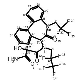 C[C@](O)(C(N)=O)C(=O)N(CC(F)(F)C(F)(F)F)[C@@H]1C(=O)N(CC(F)(F)F)c2ccccc2-c2ccccc21